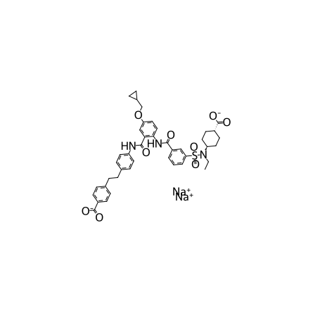 CCN([C@H]1CC[C@H](C(=O)[O-])CC1)S(=O)(=O)c1cccc(C(=O)Nc2ccc(OCC3CC3)cc2C(=O)Nc2ccc(CCc3ccc(C(=O)[O-])cc3)cc2)c1.[Na+].[Na+]